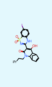 CC(C)CCN1C(=O)C(C2=NS(=O)(=O)c3cc(I)ccc3N2)=C(O)C2C3C=CC(C3)C21